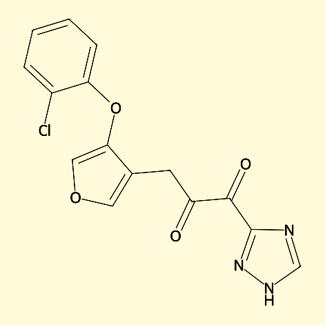 O=C(Cc1cocc1Oc1ccccc1Cl)C(=O)c1nc[nH]n1